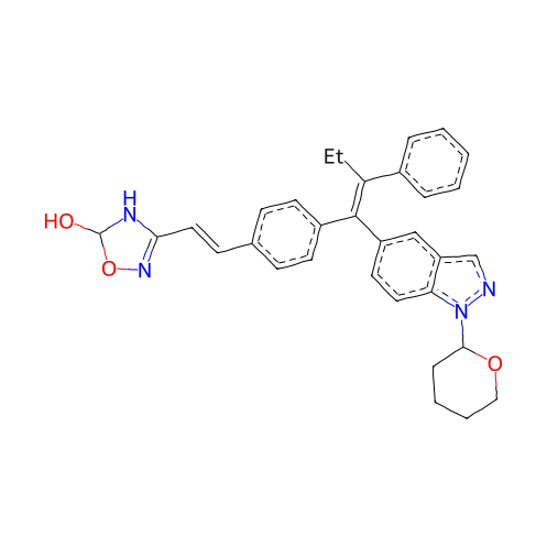 CCC(=C(c1ccc(C=CC2=NOC(O)N2)cc1)c1ccc2c(cnn2C2CCCCO2)c1)c1ccccc1